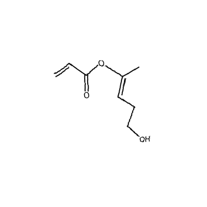 C=CC(=O)OC(C)=CCCO